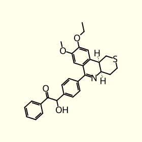 CCOc1cc2c(cc1OC)C(c1ccc(C(O)C(=O)c3ccccc3)cc1)=N[C@@H]1CCSC[C@H]21